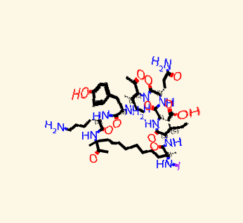 CC[C@H](C)[C@H](NC(=O)[C@H](CCC(N)=O)NC(=O)[C@H](CC(=O)O)NC(=O)[C@@H](NC(=O)[C@](C)(CCCCCCCCC(C)(NC(=O)[C@H](CCCCN)NC(=O)[C@@H](N)Cc1ccc(O)cc1)C(C)=O)NI)[C@@H](C)CC)C(C)=O